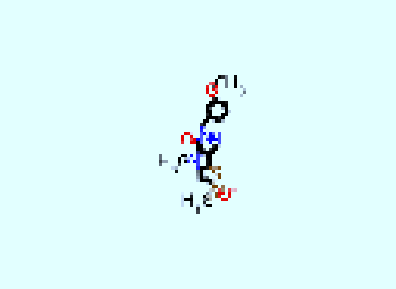 COc1cccc(Cn2ncc3c4sc([S+](C)[O-])cc4n(C)c3c2=O)c1